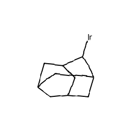 [Ir][CH]1C2CC3CC(C2)CC1C3